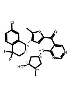 [CH2][C@@H]1C[C@@H](Nc2ncncc2C(=O)c2cc([C@@H]3OCC(F)(F)c4ccc(Cl)cc43)c(C)s2)C[C@@H]1O